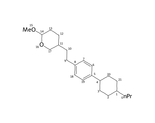 CCCC1CCC(c2ccc(CCC3CCC(OC)OC3)cc2)CC1